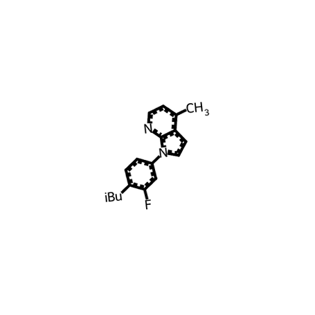 CCC(C)c1ccc(-n2ccc3c(C)ccnc32)cc1F